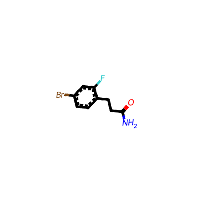 NC(=O)CCc1ccc(Br)cc1F